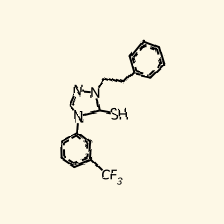 FC(F)(F)c1cccc(N2C=NN(CCc3ccccc3)C2S)c1